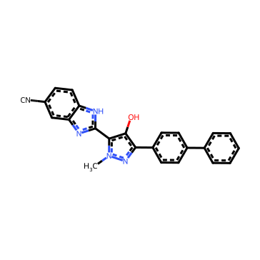 [C-]#[N+]c1ccc2[nH]c(-c3c(O)c(-c4ccc(-c5ccccc5)cc4)nn3C)nc2c1